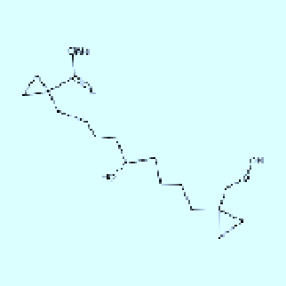 COC(=O)C1(CCCCC(O)CCCCC2(COO)CC2)CC1